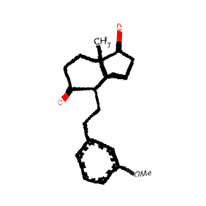 COc1cccc(CCC2C(=O)CCC3(C)C(=O)CCC23)c1